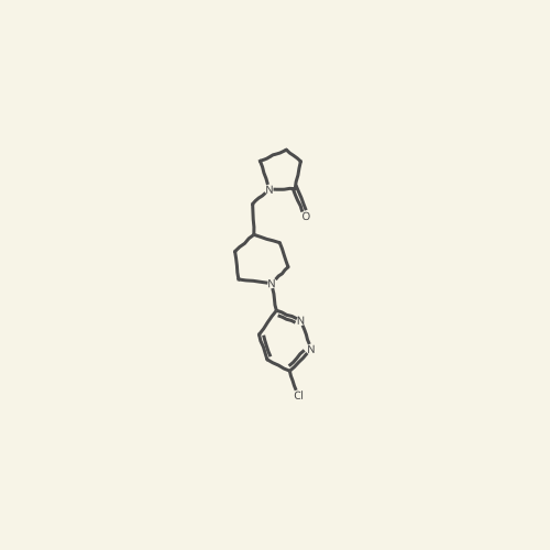 O=C1CCCN1CC1CCN(c2ccc(Cl)nn2)CC1